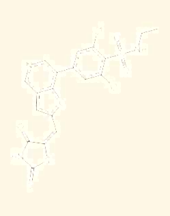 CCNS(=O)(=O)c1c(Cl)cc(-c2cncc3cc(C=C4SC(=S)NC4=O)oc23)cc1Cl